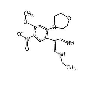 CCN/C=C(\C=N)c1cc([N+](=O)[O-])c(OC)cc1N1CCOCC1